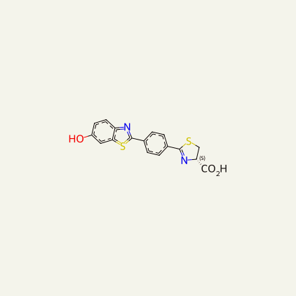 O=C(O)[C@H]1CSC(c2ccc(-c3nc4ccc(O)cc4s3)cc2)=N1